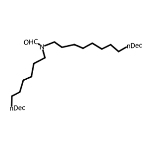 CCCCCCCCCCCCCCCCCCN(C=O)CCCCCCCCCCCCCCCC